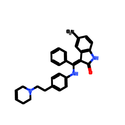 O=C1Nc2ccc([N+](=O)[O-])cc2C1=C(Nc1ccc(CCN2CC=CCC2)cc1)c1ccccc1